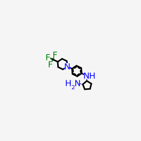 N[C@H]1CCC[C@H]1Nc1ccc(N2CCC(C(F)(F)F)CC2)cc1